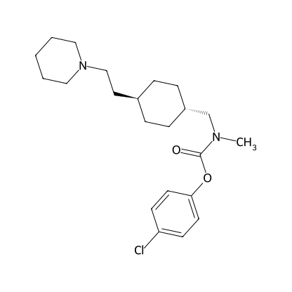 CN(C[C@H]1CC[C@H](CCN2CCCCC2)CC1)C(=O)Oc1ccc(Cl)cc1